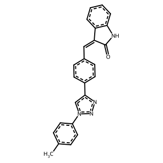 Cc1ccc(-n2cc(-c3ccc(/C=C4\C(=O)Nc5ccccc54)cc3)nn2)cc1